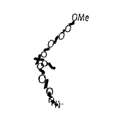 C=CCOCC(C)(COCCOCCOCCN=[N+]=[N-])COCCOCCOCOCCOC